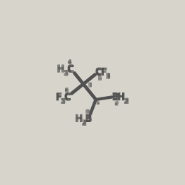 BC(B)C(C)(C(F)(F)F)C(F)(F)F